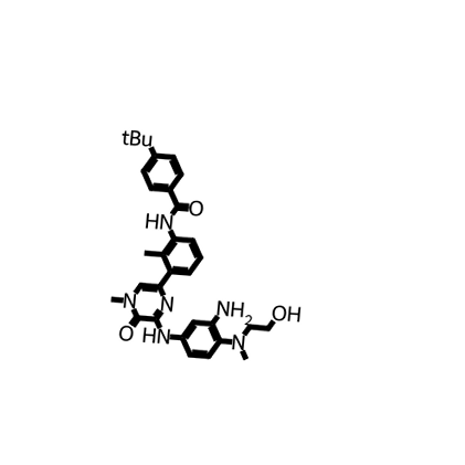 Cc1c(NC(=O)c2ccc(C(C)(C)C)cc2)cccc1-c1cn(C)c(=O)c(Nc2ccc(N(C)CCO)c(N)c2)n1